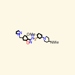 CNC1CCN(c2cccc(SNc3noc4cc(Cn5cccn5)cc(OC)c34)c2)CC1